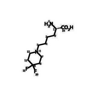 N[C@@H](CCCCN1CCC(F)(F)CC1)C(=O)O